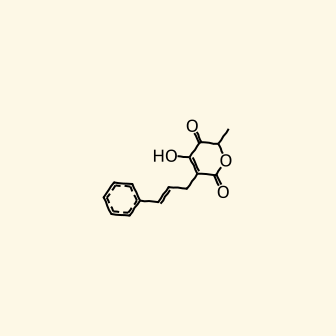 CC1OC(=O)C(CC=Cc2ccccc2)=C(O)C1=O